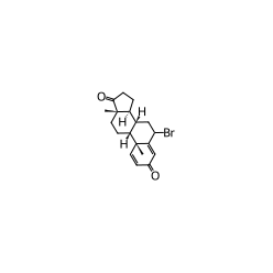 C[C@]12C=CC(=O)C=C1C(Br)C[C@@H]1[C@H]2CC[C@]2(C)C(=O)CC[C@@H]12